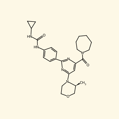 C[C@H]1COCCN1c1cc(C(=O)N2CCCCCC2)nc(-c2ccc(NC(=O)NC3CC3)cc2)n1